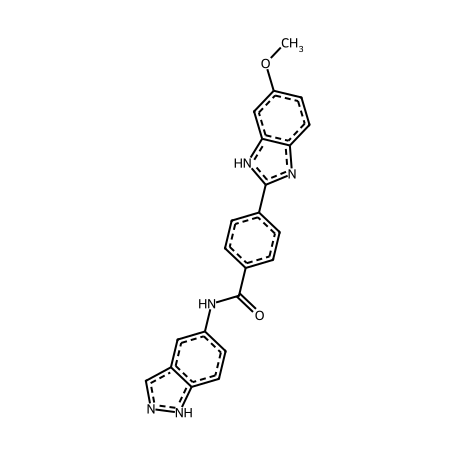 COc1ccc2nc(-c3ccc(C(=O)Nc4ccc5[nH]ncc5c4)cc3)[nH]c2c1